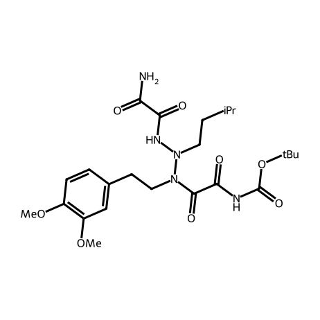 COc1ccc(CCN(C(=O)C(=O)NC(=O)OC(C)(C)C)N(CCC(C)C)NC(=O)C(N)=O)cc1OC